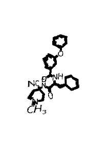 CN1CCC(C#N)(NC(=O)C(CC2CCCCC2)NC(=O)c2cccc(Oc3ccccc3)c2)CC1